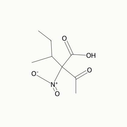 CCC(C)C(C(C)=O)(C(=O)O)[N+](=O)[O-]